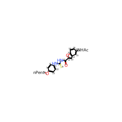 CCCCCOc1ccc(NC(=S)NC(=O)c2cc3cc(NC(C)=O)ccc3o2)cc1